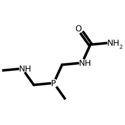 CNCP(C)CNC(N)=O